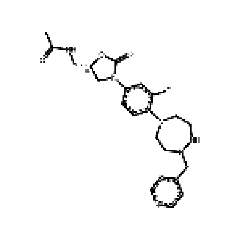 CC(=O)NC[C@H]1CN(c2ccc(N3CCNN(Cc4ccncc4)CC3)c(F)c2)C(=O)O1